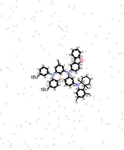 Cc1cc2c3c(c1)N(c1cccc(C(C)(C)C)c1)c1cc(C(C)(C)C)ccc1B3c1ccc(N3c4cc(C)cc(C)c4C4(C)CCCCC34C)cc1N2c1ccc2oc3ccccc3c2c1